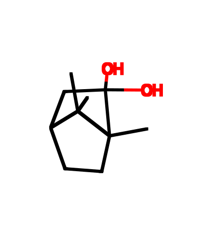 CC1(C)C2CCC1(C)C(O)(O)C2